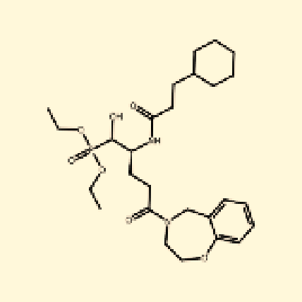 CCOP(=O)(OCC)C(O)[C@H](CCC(=O)N1CCOc2ccccc2C1)NC(=O)CCC1CCCCC1